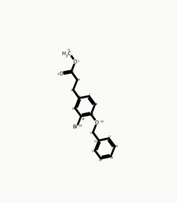 COC(=O)CCc1ccc(OCc2ccccc2)c(Br)c1